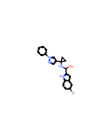 OC(NC1(c2cnn(-c3ccccc3)c2)CC1)c1cc2cc(Cl)ccc2[nH]1